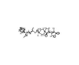 C=N/C(=C\N=C(/C)CN(C)[C@]1(C)CC[C@]2(CCN(C3=C(C)C(=O)OC3)C2=O)CC1)n1cnnn1